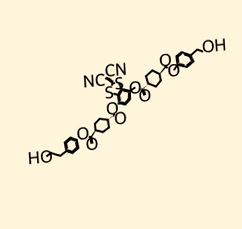 N#CC(C#N)=C1Sc2c(OC(=O)[C@H]3CC[C@H](C(=O)Oc4ccc(CCO)cc4)CC3)ccc(OC(=O)[C@H]3CC[C@H](C(=O)Oc4ccc(CCO)cc4)CC3)c2S1